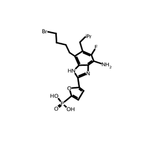 CC(C)Cc1c(F)c(N)c2nc(-c3ccc(P(=O)(O)O)o3)[nH]c2c1CCCCBr